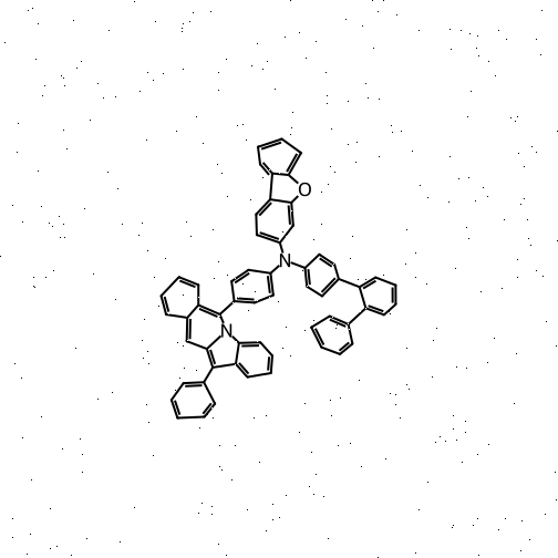 c1ccc(-c2ccccc2-c2ccc(N(c3ccc(-c4c5ccccc5cc5c(-c6ccccc6)c6ccccc6n45)cc3)c3ccc4c(c3)oc3ccccc34)cc2)cc1